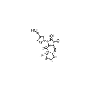 C#Cc1csc(C2N(O)C(=O)CN2C(=O)c2c(F)cccc2F)c1